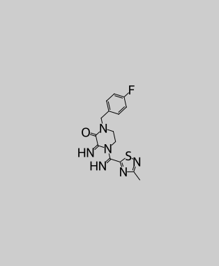 Cc1nsc(C(=N)N2CCN(Cc3ccc(F)cc3)C(=O)C2=N)n1